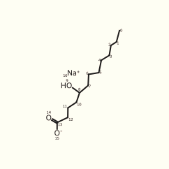 CCCCCCCCC(O)CCCC(=O)[O-].[Na+]